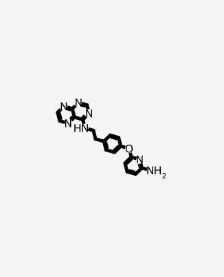 Nc1cccc(Oc2ccc(CCNc3ncnc4nccnc34)cc2)n1